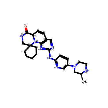 C[C@H]1CN(c2ccc(Nc3ncc4c(n3)N3C(C=C4)C(=O)NCC34CCCCC4)nc2)CCN1